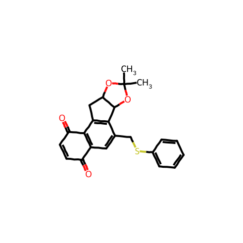 CC1(C)OC2Cc3c4c(cc(CSc5ccccc5)c3C2O1)C(=O)C=CC4=O